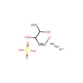 O=C([O-])C(O)C(O)C(=O)[O-].O=S(=O)([O-])O.O=S(=O)([O-])[O-].[In+3].[Na+].[Na+]